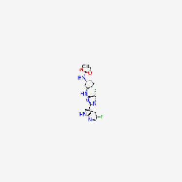 COC(=O)N[C@H]1CCC[C@@H](Nc2nc(-c3c[nH]c4ncc(F)cc34)ncc2F)C1